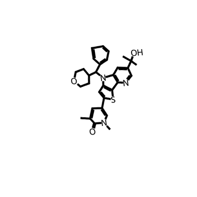 Cc1cc(-c2cc3c(s2)c2ncc(C(C)(C)O)cc2n3C(c2ccccc2)C2CCOCC2)cn(C)c1=O